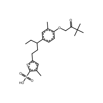 CCC(CCc1cc(C)c(S(=O)(=O)O)s1)c1ccc(OCC(=O)C(C)(C)C)c(C)c1